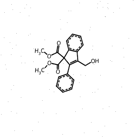 COC(=O)C1(C(=O)OC)C(c2ccccc2)=C(CO)c2ccccc21